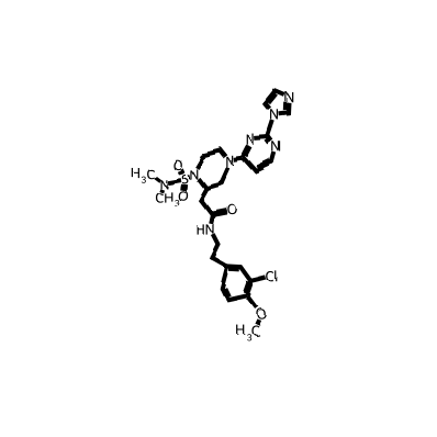 COc1ccc(CCNC(=O)CC2CN(c3ccnc(-n4ccnc4)n3)CCN2S(=O)(=O)N(C)C)cc1Cl